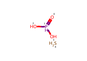 O=[PH](O)O.S